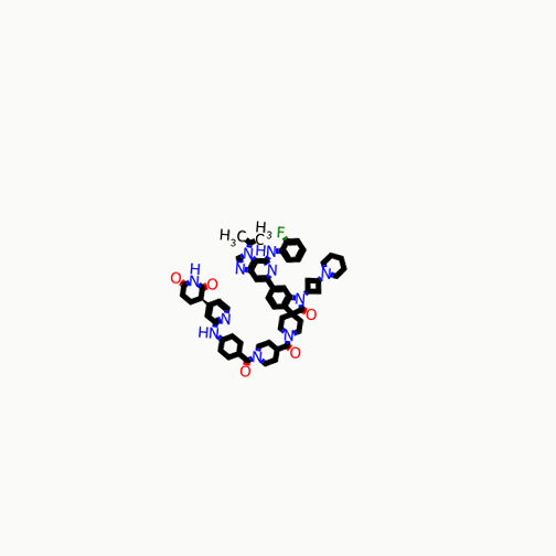 CC(C)n1cnc2cc(-c3ccc4c(c3)N(C3CC(N5CCCCC5)C3)C(=O)C43CCN(C(=O)C4CCN(C(=O)C5CCC(Nc6cc([C@H]7CCC(=O)NC7=O)ccn6)CC5)CC4)CC3)nc(Nc3ccccc3F)c21